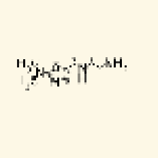 CN(C)c1ncc(CNCCN)s1